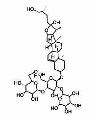 C[C@@H](CO)CCC1(O)OC2C[C@H]3[C@@H]4CC=C5CC(O[C@@H]6OC(CO)[C@@H](O[C@@H]7OC(CO)[C@@H](O)[C@H](O)C7O)[C@H](O)C6O[C@@H]6OC(O)[C@H](O)[C@H](O)C6O)CC[C@]5(C)[C@H]4CC[C@]3(C)[C@H]2[C@@H]1C